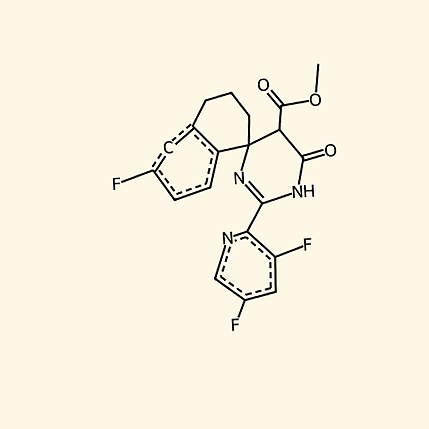 COC(=O)C1C(=O)NC(c2ncc(F)cc2F)=NC12CCCc1cc(F)ccc12